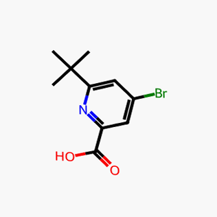 CC(C)(C)c1cc(Br)cc(C(=O)O)n1